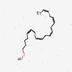 CC/C=C\C/C=C\C/C=C\C/C=C\C/C=C\CCCCOC(C)(C)C